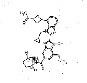 COc1cc(C(=O)N2C[C@H]3CC[C@@H]2[C@@H]3N)cc2nc(-c3cc4cccc(C5CN(C(C)=O)C5)c4n3CC3CC3)n(C)c12